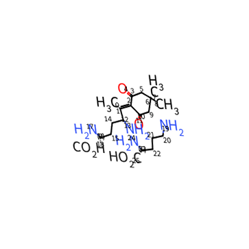 CC(=C1C(=O)CC(C)(C)CC1=O)C(N)CC[C@@H](N)C(=O)O.NCCC[C@H](N)C(=O)O